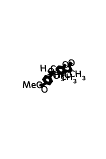 COC(=O)c1ccc(C(=O)Oc2c(C)cc3c(c2C)C(C)(C)CC(=O)O3)cc1